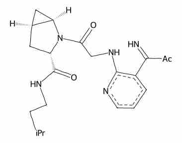 CC(=O)C(=N)c1cccnc1NCC(=O)N1[C@@H]2C[C@@H]2C[C@H]1C(=O)NCCC(C)C